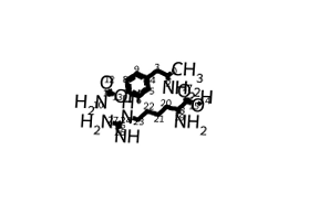 CC(N)Cc1ccccc1.NC(=O)O.[2H]OC(=O)C(N)CCCCNC(=N)N